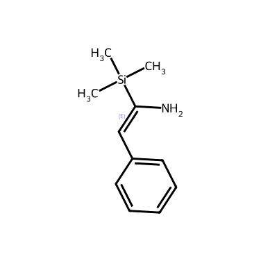 C[Si](C)(C)/C(N)=C/c1ccccc1